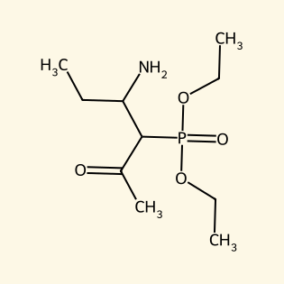 CCOP(=O)(OCC)C(C(C)=O)C(N)CC